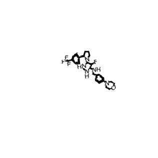 FC1C(NCc2ccc(N3CCOCC3)cc2)NCNC1N1CCCC1c1ccc(C(F)(F)F)cc1